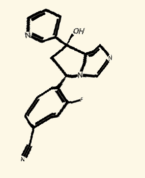 N#Cc1ccc([C@H]2C[C@](O)(c3cccnc3)c3cncn32)c(F)c1